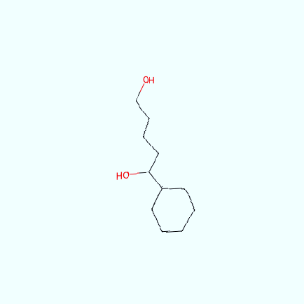 OCCCCC(O)[C]1CCCCC1